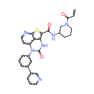 C=CC(=O)N1CCCC(NC(=O)c2sc3nccc4c3c2NC(=O)N4c2cccc(-c3cccnc3)c2)C1